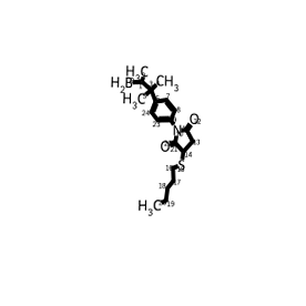 BC(C)C(C)(C)c1ccc(N2C(=O)CC(SCCCCC)C2=O)cc1